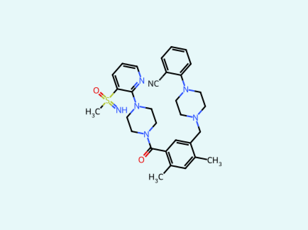 Cc1cc(C)c(C(=O)N2CCN(c3ncccc3S(C)(=N)=O)CC2)cc1CN1CCN(c2ccccc2C#N)CC1